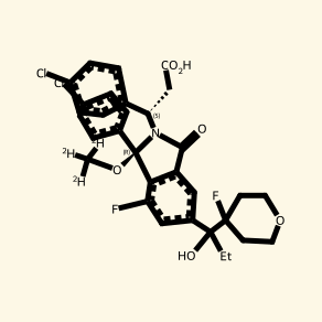 [2H]C([2H])([2H])O[C@]1(c2ccc(Cl)cc2)c2c(F)cc(C(O)(CC)C3(F)CCOCC3)cc2C(=O)N1[C@@H](CC(=O)O)c1ccc(Cl)cc1